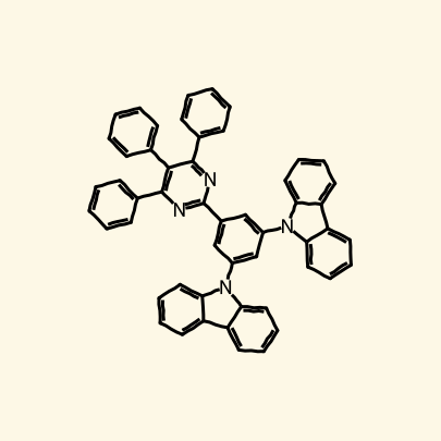 c1ccc(-c2nc(-c3cc(-n4c5ccccc5c5ccccc54)cc(-n4c5ccccc5c5ccccc54)c3)nc(-c3ccccc3)c2-c2ccccc2)cc1